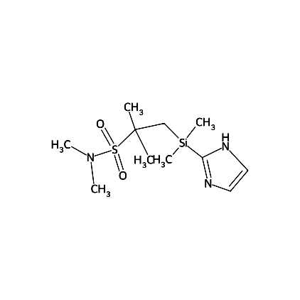 CN(C)S(=O)(=O)C(C)(C)C[Si](C)(C)c1ncc[nH]1